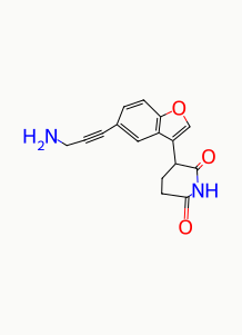 NCC#Cc1ccc2occ(C3CCC(=O)NC3=O)c2c1